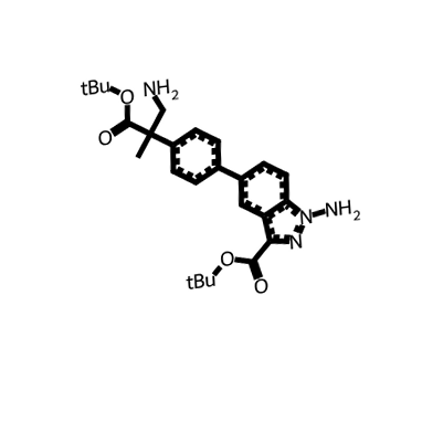 CC(C)(C)OC(=O)c1nn(N)c2ccc(-c3ccc(C(C)(CN)C(=O)OC(C)(C)C)cc3)cc12